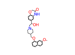 COc1ccc2cccc(OCC3CCN(CC(O)c4ccc5c(c4)NC(=O)CO5)CC3)c2c1